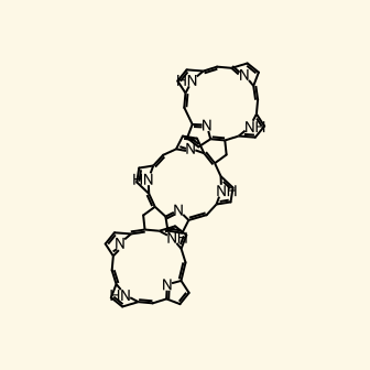 C1=Cc2cc3ccc([nH]3)c(Cc3c4nc(cc5ccc([nH]5)c(Cc5c6nc(cc7ccc(cc8nc(cc9ccc5[nH]9)C=C8)[nH]7)C=C6)c5nc(cc6ccc3[nH]6)C=C5)C=C4)c3nc(cc4ccc(cc1n2)[nH]4)C=C3